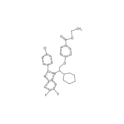 CCOC(=O)c1ccc(OCC(C2CCCCC2)n2c(-c3ccc(Cl)cc3)nc3cc(F)c(F)cc32)cc1